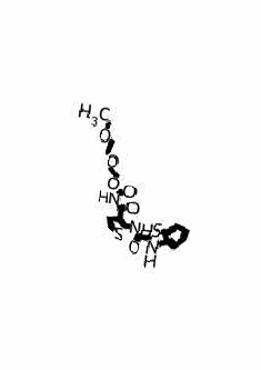 CCOCCOCCOC(=O)NC(=O)c1ccsc1NC(=O)C1Nc2ccccc2S1